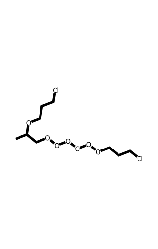 CC(COOOOOOCCCCl)OCCCCl